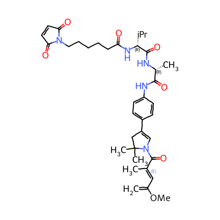 C=C(/C=C(\C)C(=O)N1C=C(c2ccc(NC(=O)[C@@H](C)NC(=O)[C@H](NC(=O)CCCCCN3C(=O)C=CC3=O)C(C)C)cc2)CC1(C)C)OC